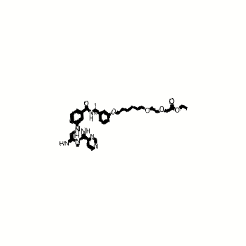 CCOC(=O)COCCOCCCCCCOc1cccc([C@@H](C)NC(=O)c2cccc(NCC(=N)N(C)C(=N)c3ccncn3)c2)c1